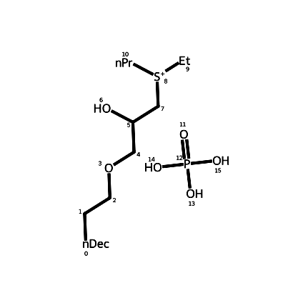 CCCCCCCCCCCCOCC(O)C[S+](CC)CCC.O=P(O)(O)O